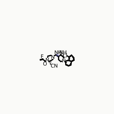 C=C(F)C(=O)N1CCN(/C(N)=C2\CCN(c3cccc4cccc(Cl)c34)CC2=N)C[C@@H]1CC#N